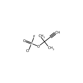 C#CC(C)(C)OP(=O)(F)Cl